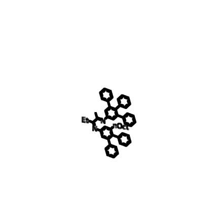 CCCCCCCCc1cc(N=C(CC)C(C)=Nc2cc(-c3ccccc3)c(-c3ccccc3)c(-c3ccccc3)c2)cc(-c2ccccc2)c1-c1ccccc1